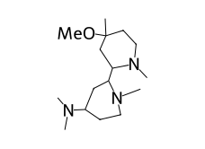 COC1(C)CCN(C)C(C2CC(N(C)C)CCN2C)C1